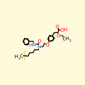 CCOC(Cc1ccc(OCCN(CCCCCC(C)(F)F)C(=O)NCc2ccccc2)cc1)C(=O)O